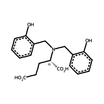 O=C(O)CC[C@@H](C(=O)O)N(Cc1ccccc1O)Cc1ccccc1O